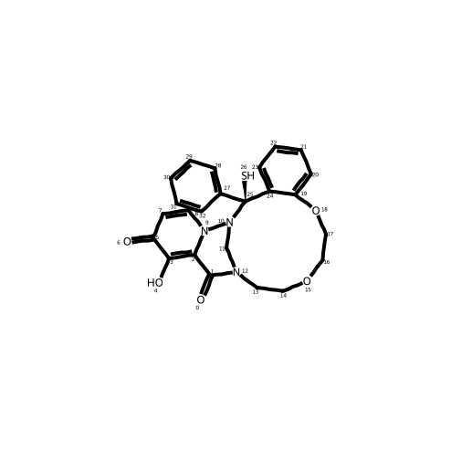 O=C1c2c(O)c(=O)ccn2N2CN1CCOCCOc1ccccc1[C@@]2(S)c1ccccc1